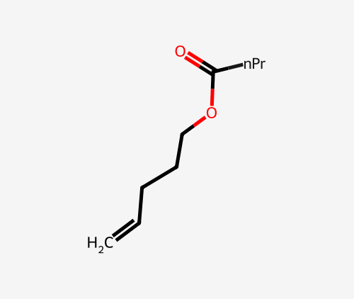 C=CCCCOC(=O)CCC